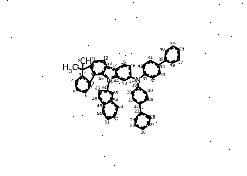 CC1(C)c2ccccc2-c2c1ccc1c3ccc(N(c4ccc(-c5ccccc5)cc4)c4ccc(-c5ccccc5)cc4)cc3n(-c3ccc4ccccc4c3)c21